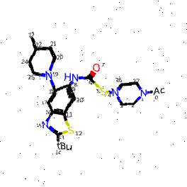 CC(=O)N1CCN(SC(=O)Nc2cc3sc(C(C)(C)C)nc3cc2N2CCC(C)CC2)CC1